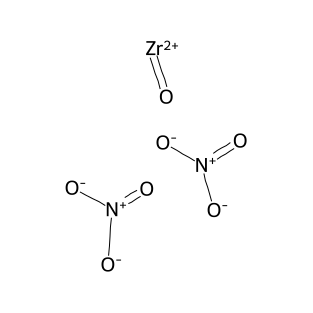 O=[N+]([O-])[O-].O=[N+]([O-])[O-].[O]=[Zr+2]